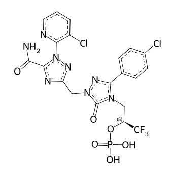 NC(=O)c1nc(Cn2nc(-c3ccc(Cl)cc3)n(C[C@H](OP(=O)(O)O)C(F)(F)F)c2=O)nn1-c1ncccc1Cl